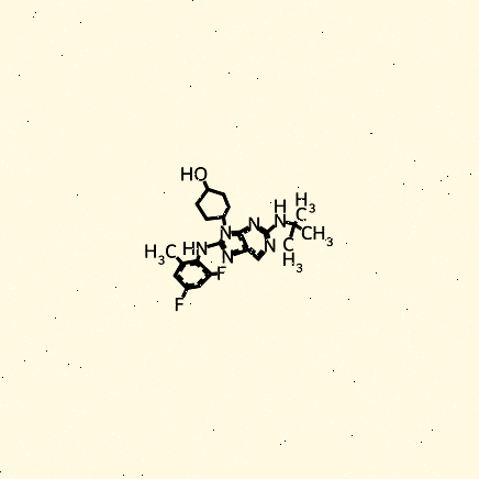 Cc1cc(F)cc(F)c1Nc1nc2cnc(NC(C)(C)C)nc2n1C1CCC(O)CC1